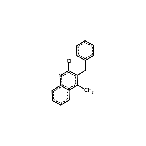 Cc1c(Cc2ccccc2)c(Cl)nc2ccccc12